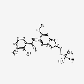 CCOc1cc2nn(CCC(C)(C)O)cc2cc1NC(=O)c1cccc(C)[n+]1O